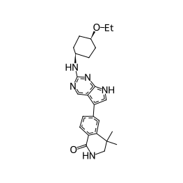 CCO[C@H]1CC[C@@H](Nc2ncc3c(-c4ccc5c(c4)C(C)(C)CNC5=O)c[nH]c3n2)CC1